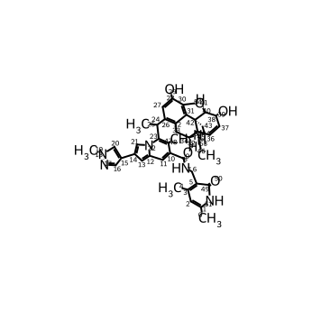 Cc1cc(C)c(CNC(=O)c2cc3cc(-c4cnn(C)c4)cn3c(C(C)c3cc(O)c4c5c3C[C@@H]3[C@@H]6C=C[C@H](O)[C@H](O4)[C@]56CCN3C)c2C)c(=O)[nH]1